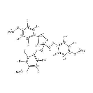 COCc1c(F)c(F)c(COC([O][Zr])(OCc2c(F)c(F)c(COC)c(F)c2F)OCc2c(F)c(F)c(COC)c(F)c2F)c(F)c1F